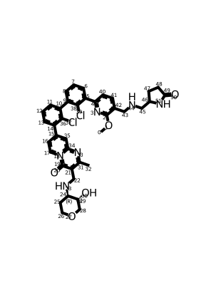 COc1nc(-c2cccc(-c3cccc(-c4ccn5c(=O)c(CN[C@@H]6CCOC[C@H]6O)c(C)nc5c4)c3Cl)c2Cl)ccc1CNCC1CCC(=O)N1